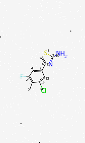 Cc1c(F)cc(-c2csc(N)n2)cc1Cl